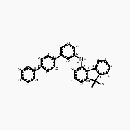 CC1(C)c2ccccc2-c2c(Nc3cccc(-c4ccc(-c5ccccc5)cc4)c3)cccc21